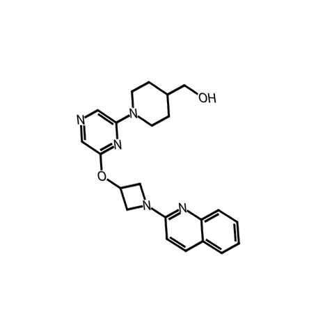 OCC1CCN(c2cncc(OC3CN(c4ccc5ccccc5n4)C3)n2)CC1